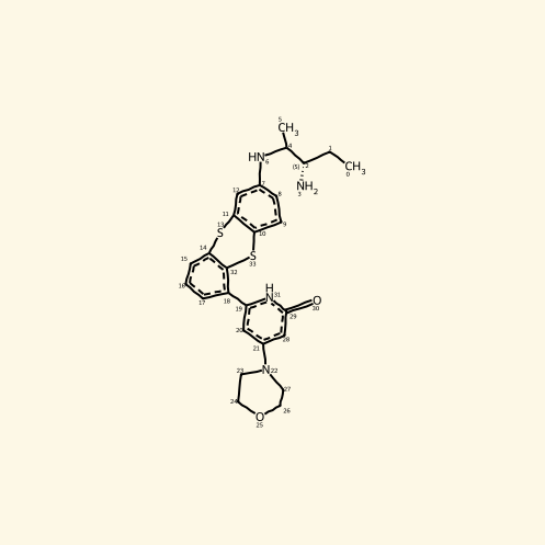 CC[C@H](N)C(C)Nc1ccc2c(c1)Sc1cccc(-c3cc(N4CCOCC4)cc(=O)[nH]3)c1S2